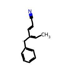 CC=C([CH]c1ccccc1)C=CC#N